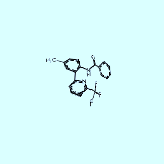 Cc1ccc(NC(=O)c2ccccc2)c(-c2cccc(C(F)(F)F)n2)c1